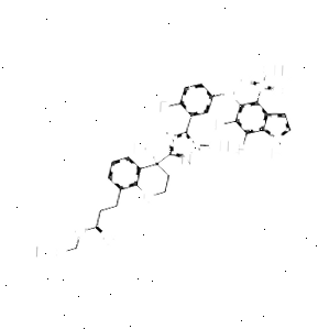 CCOC(=O)CCc1cccc2c1OCC[C@@]2(C)c1nc(-c2cc(Oc3c(F)c(F)c4[nH]ccc4c3S(C)(=O)=O)ccc2F)n(C)n1